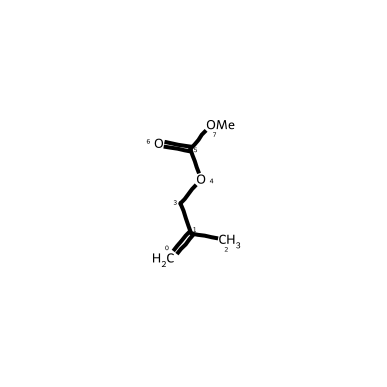 C=C(C)COC(=O)OC